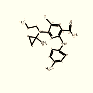 CCCN(c1nc(Nc2ccc(C)cc2)c(C(N)=O)cc1F)C1(N)CC1